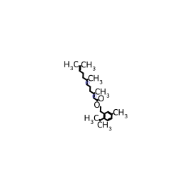 CC(C)=CCC/C(C)=C/CC/C(C)=C/C(=O)OCCc1cc(C)ccc1C(C)C